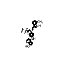 CC1=C2NC=C(CCN3CC(C)(C)Oc4cc(Nc5ccnc6c5CCC6O)ccc43)C2CC=C1